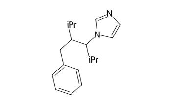 CC(C)C(Cc1ccccc1)C(C(C)C)n1ccnc1